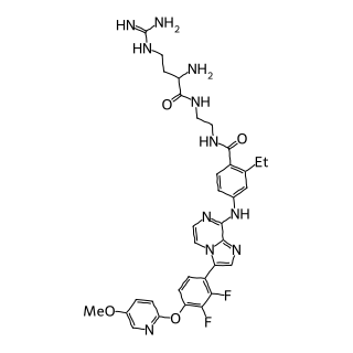 CCc1cc(Nc2nccn3c(-c4ccc(Oc5ccc(OC)cn5)c(F)c4F)cnc23)ccc1C(=O)NCCNC(=O)C(N)CCNC(=N)N